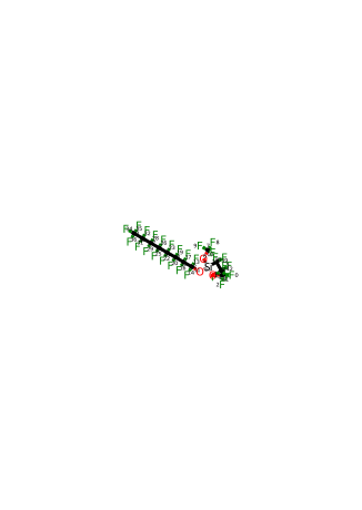 FC(F)(F)O[Si](OC(F)(F)F)(OC(F)(F)C(F)(F)C(F)(F)C(F)(F)C(F)(F)C(F)(F)C(F)(F)C(F)(F)F)C(F)(F)C(F)(F)F